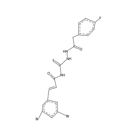 O=C(C=Cc1cc(Br)cc(Br)c1)NC(=S)NNC(=O)Cc1ccc(F)cc1